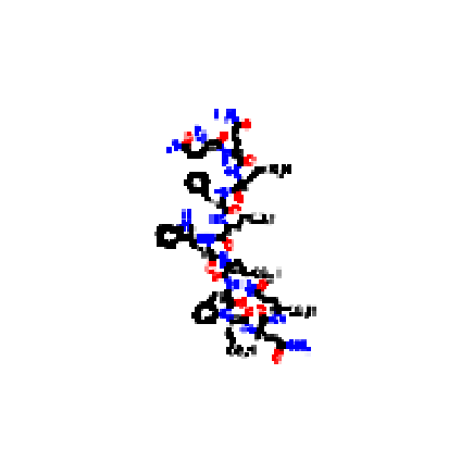 NC(=O)CC[C@H](NC(=O)[C@H](CCC(N)=O)NC(=O)[C@H](CCC(=O)O)NC(=O)[C@H](Cc1ccccc1)NC(=O)[C@H](CCC(=O)O)NC(=O)[C@H](Cc1c[nH]c2ccccc12)NC(=O)[C@H](CCC(=O)O)NC(=O)[C@H](Cc1ccccc1)NC(=O)[C@H](CCC(=O)O)NC(=O)[C@H](CCC(N)=O)NC(=O)[C@@H](N)CCC(N)=O)C(=O)O